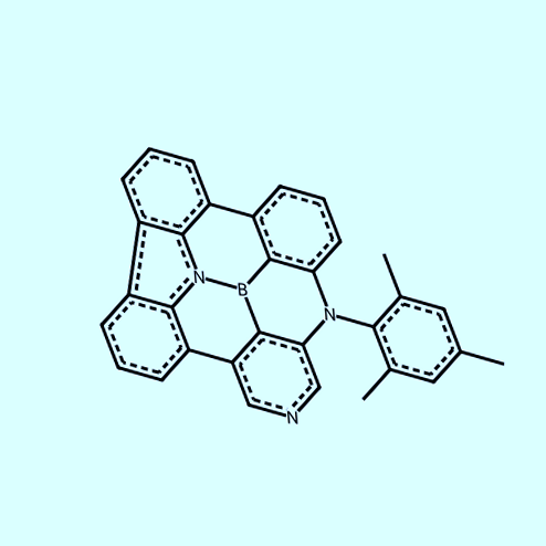 Cc1cc(C)c(N2c3cccc4c3B3c5c(cncc52)-c2cccc5c6cccc-4c6n3c25)c(C)c1